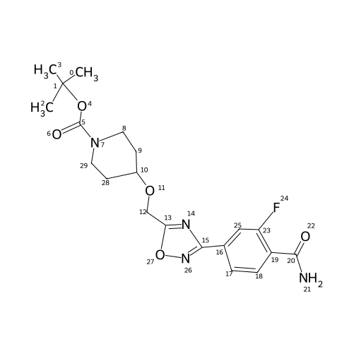 CC(C)(C)OC(=O)N1CCC(OCc2nc(-c3ccc(C(N)=O)c(F)c3)no2)CC1